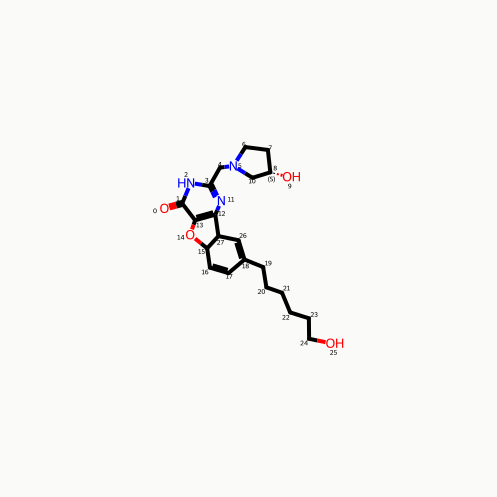 O=c1[nH]c(CN2CC[C@H](O)C2)nc2c1OC1C=CC(CCCCCCO)=CC21